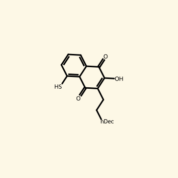 CCCCCCCCCCCCC1=C(O)C(=O)c2cccc(S)c2C1=O